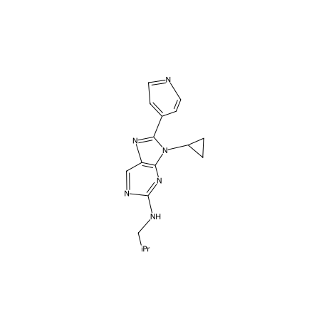 CC(C)CNc1ncc2nc(-c3ccncc3)n(C3CC3)c2n1